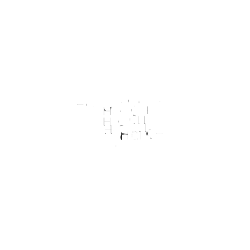 C=CC.C=CC.C=CC.C=CC.OCCO.OCCOCCOCCOCCO